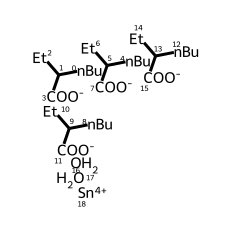 CCCCC(CC)C(=O)[O-].CCCCC(CC)C(=O)[O-].CCCCC(CC)C(=O)[O-].CCCCC(CC)C(=O)[O-].O.O.[Sn+4]